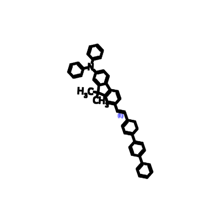 CC1(C)c2cc(/C=C/C3=CC=C(c4ccc(-c5ccccc5)cc4)CC3)ccc2-c2ccc(N(c3ccccc3)c3ccccc3)cc21